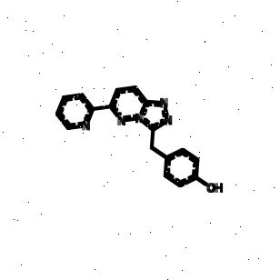 Oc1ccc(Cc2nnc3ccc(-c4ccccn4)nn23)cc1